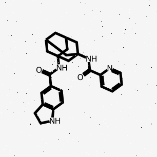 O=C(NC12CC3CC(C1)CC(NC(=O)c1ccccn1)(C3)C2)c1ccc2c(c1)CCN2